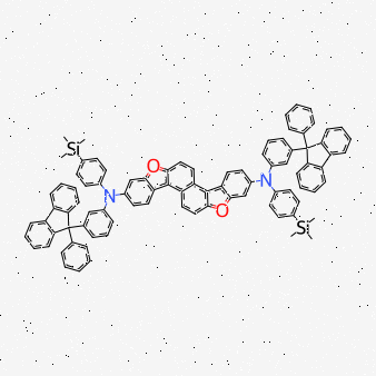 C[Si](C)(C)c1ccc(N(c2cccc(C3(c4ccccc4)c4ccccc4-c4ccccc43)c2)c2ccc3c(c2)oc2ccc4c(ccc5oc6cc(N(c7ccc([Si](C)(C)C)cc7)c7cccc(C8(c9ccccc9)c9ccccc9-c9ccccc98)c7)ccc6c54)c23)cc1